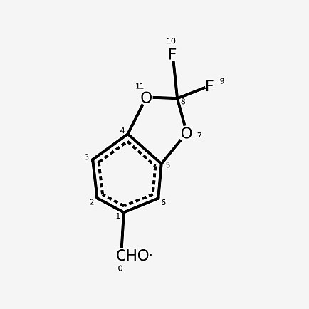 O=[C]c1ccc2c(c1)OC(F)(F)O2